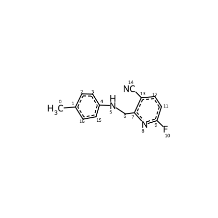 Cc1ccc(NCc2nc(F)ccc2C#N)cc1